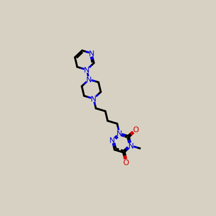 Cn1c(=O)cnn(CCCCN2CCN(N3C=NC=CC3)CC2)c1=O